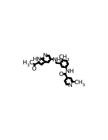 CC(=O)c1cc2cc(NCc3cc(NC(=O)c4ccnc(C)c4)ccc3C)cnc2[nH]1